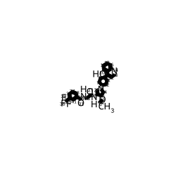 CCO[C@@H]1CN(C2CCC(O)(c3ccnc4ccccc34)CC2)C[C@@H]1NC(=O)CNC(=O)c1cccc(C(F)(F)F)c1